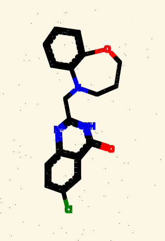 O=c1[nH]c(CN2CCCOc3ccccc32)nc2ccc(Cl)cc12